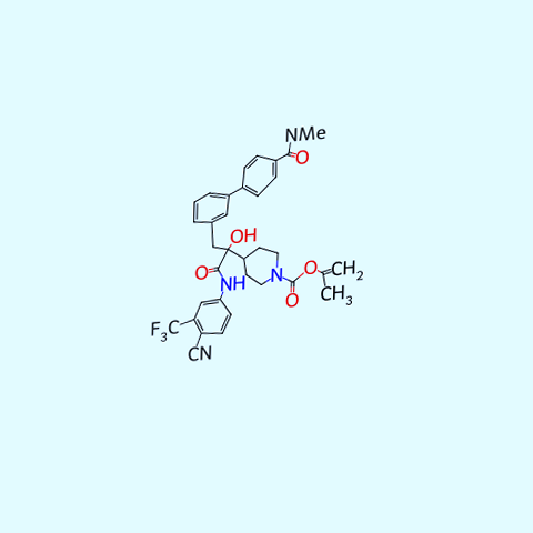 C=C(C)OC(=O)N1CCC(C(O)(Cc2cccc(-c3ccc(C(=O)NC)cc3)c2)C(=O)Nc2ccc(C#N)c(C(F)(F)F)c2)CC1